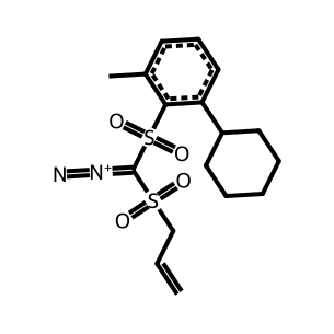 C=CCS(=O)(=O)C(=[N+]=[N-])S(=O)(=O)c1c(C)cccc1C1CCCCC1